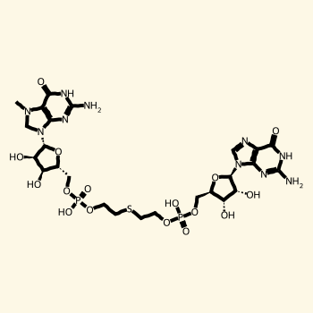 CN1CN([C@@H]2O[C@H](COP(=O)(O)OCCSCCOP(=O)(O)OC[C@H]3O[C@@H](n4cnc5c(=O)[nH]c(N)nc54)[C@H](O)[C@@H]3O)[C@@H](O)[C@H]2O)c2nc(N)[nH]c(=O)c21